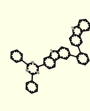 c1ccc(-c2nc(-c3ccccc3)nc(-c3ccc4c(c3)sc3ccc(-c5ccccc5-c5ccc6sc7ccccc7c6c5)cc34)n2)cc1